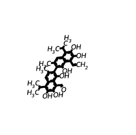 C=Cc1c(O)c(O)c(C(C)C)c2cc(C)c(-c3c(C)cc4c(C(C)C)c(O)c(O)c(C=O)c4c3O)c(O)c12